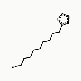 BrCCCCCCCCCc1cccs1